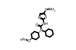 CCCO[C@H]1CC[C@H](N(C(=O)Nc2ncc(SN)s2)C2CCCCC2)CC1